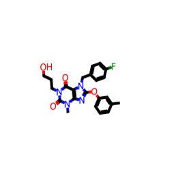 Cc1cccc(Oc2nc3c(c(=O)n(CCCO)c(=O)n3C)n2Cc2ccc(F)cc2)c1